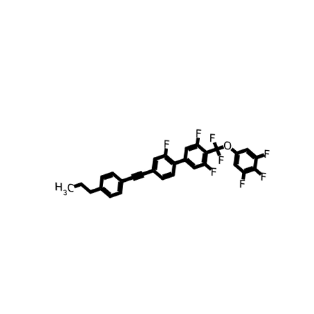 CCCc1ccc(C#Cc2ccc(-c3cc(F)c(C(F)(F)Oc4cc(F)c(F)c(F)c4)c(F)c3)c(F)c2)cc1